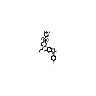 CCCN1CCN(S(=O)(=O)c2cnn(C)c2)C[C@H]1c1cc2cnn(-c3ccc(F)cc3)c2cc1C